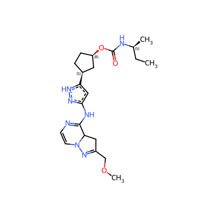 CC[C@H](C)NC(=O)O[C@@H]1CC[C@H](c2cc(NC3=NC=CN4N=C(COC)CC34)n[nH]2)C1